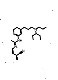 C=C(C#N)/C=C\N=C(/C)NC1=NCCC(CCCN(CCC)C(CC)CC)=C1